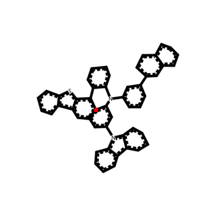 c1cc(-c2ccc3ccccc3c2)cc(N(c2cccc(-n3c4ccccc4c4ccccc43)c2)c2ccccc2-c2cccc3c2sc2ccccc23)c1